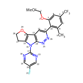 COCOc1cc(C(F)(F)F)cc(C)c1-c1cc2c3c(n(-c4ncc(F)cn4)c2nn1)CCO3